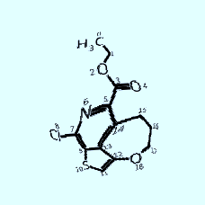 CCOC(=O)c1nc(Cl)c2scc3c2c1CCCO3